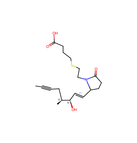 CC#CC[C@H](C)[C@H](O)/C=C/C1CCC(=O)N1CCSCCCC(=O)O